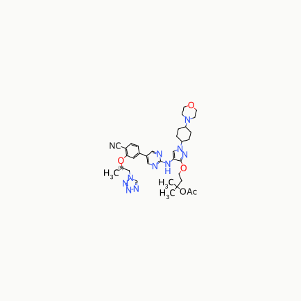 CC(=O)OC(C)(C)CCOc1nn(C2CCC(N3CCOCC3)CC2)cc1Nc1ncc(-c2ccc(C#N)c(O[C@@H](C)Cn3cnnn3)c2)cn1